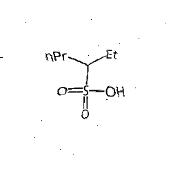 [CH2]CC(CCC)S(=O)(=O)O